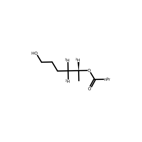 [2H]C([2H])(CCCO)[C@@]([2H])(C)OC(=O)CCC